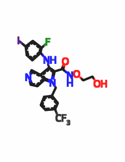 O=C(NOCCO)c1c(Nc2ccc(I)cc2F)c2cnccc2n1Cc1cccc(C(F)(F)F)c1